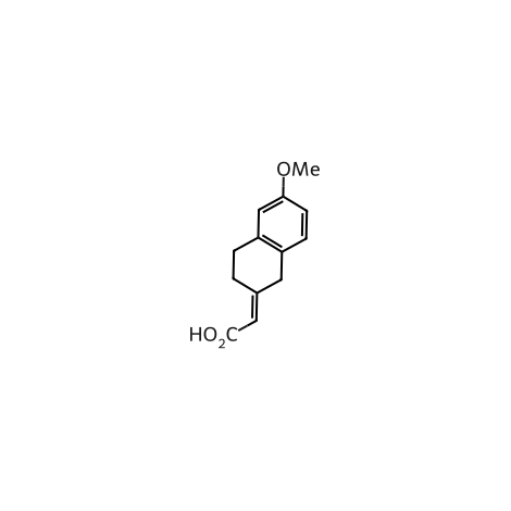 COc1ccc2c(c1)CCC(=CC(=O)O)C2